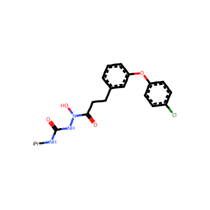 CC(C)NC(=O)NN(O)C(=O)CCc1cccc(Oc2ccc(Cl)cc2)c1